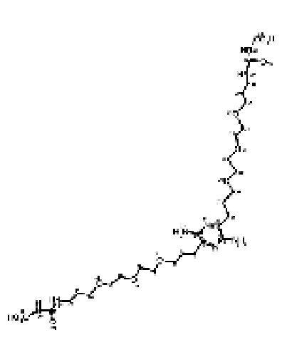 Nc1nc(CCCOCCOCCOCCCNC(=O)NC(=O)O)c(N)nc1CCCOCCOCCOCCCNC(=O)NC(=O)O